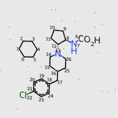 C1CCCCC1.O=C(O)N[C@@H]1CCC[C@H]1N1CCC(Cc2ccc(Cl)cc2)CC1